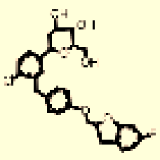 OCC1OC(c2ccc(Cl)c(Cc3ccc(OCC4Cc5ccc(F)cc5O4)cc3)c2)CC(O)[C@@H]1O